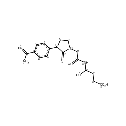 N=C(N)c1ccc(N2CCN(CC(=O)NC(O)CCC(=O)O)C2=O)cc1